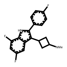 CNC1CC(c2c(-c3ccc(F)cc3)[nH]c3c(F)cc(F)cc23)C1